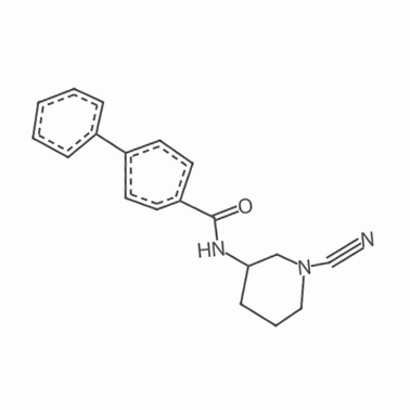 N#CN1CCCC(NC(=O)c2ccc(-c3ccccc3)cc2)C1